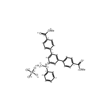 COC(=O)c1ccc(-c2cc(-c3ccc(C(=O)OC)cc3)cc([PH+](C)c3ccccc3)c2)cc1.[Cl][Fe-]([Cl])([Cl])[Cl]